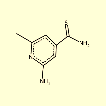 Cc1cc(C(N)=S)cc(N)n1